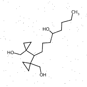 CCCCC(O)CCCC(C1(CO)CC1)C1(CO)CC1